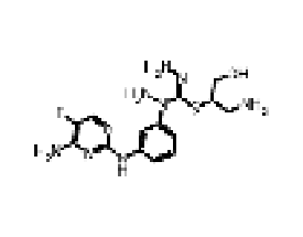 NCC(CO)S/C(=N/N)N(N)c1cccc(Nc2ncc(F)c(N)n2)c1